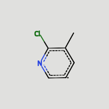 Cc1c[c]cnc1Cl